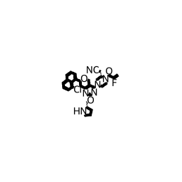 C=C(F)C(=O)N1CCN(c2nc(OC[C@@H]3CCCN3)nc3c2COC(c2cccc4cccc(Cl)c24)C3)C[C@@H]1CC#N